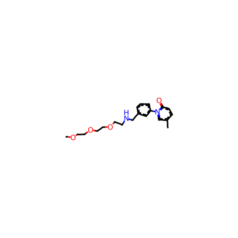 COCCOCCOCCNCc1cccc(-n2cc(C)ccc2=O)c1